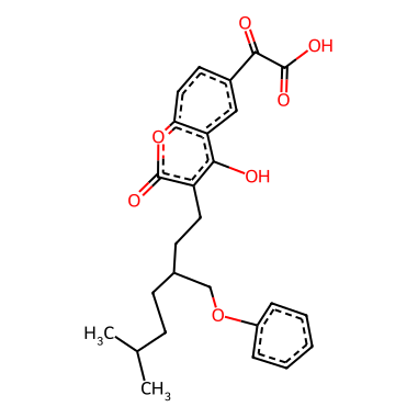 CC(C)CCC(CCc1c(O)c2cc(C(=O)C(=O)O)ccc2oc1=O)COc1ccccc1